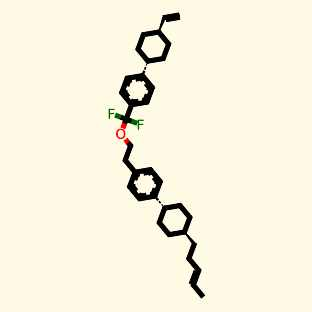 C=C[C@H]1CC[C@H](c2ccc(C(F)(F)OCCc3ccc([C@H]4CC[C@H](CC/C=C/C)CC4)cc3)cc2)CC1